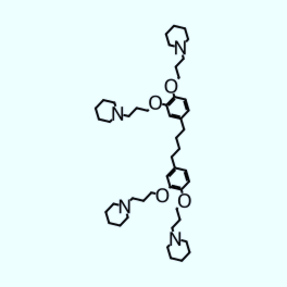 c1cc(OCCCN2CCCCC2)c(OCCCN2CCCCC2)cc1CCCCc1ccc(OCCCN2CCCCC2)c(OCCCN2CCCCC2)c1